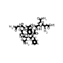 NC(=O)CC[C@H](NC(=O)[C@@H](N)CC(=O)O)C(=O)NCC(=O)N[C@@H](Cc1ccccc1)C(=O)N[C@@H](CC(N)=O)C(=O)N[C@@H](CO)C(=O)N[C@@H](Cc1c[nH]c2ccccc12)C(=O)NCC(N)=O